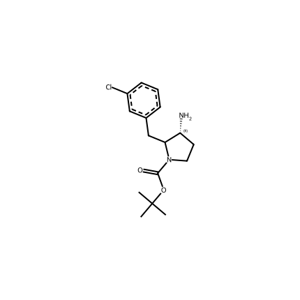 CC(C)(C)OC(=O)N1CC[C@@H](N)C1Cc1cccc(Cl)c1